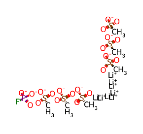 CS(=O)(=O)[O-].CS(=O)(=O)[O-].CS(=O)(=O)[O-].CS(=O)(=O)[O-].CS(=O)(=O)[O-].CS(=O)(=O)[O-].O=P([O-])([O-])F.[Li+].[Li+].[Li+].[Li+].[Li+].[Li+].[Li+].[Li+]